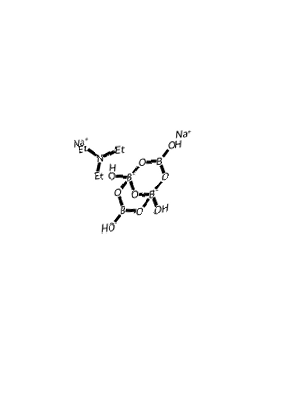 CCN(CC)CC.OB1O[B-]2(O)OB(O)O[B-](O)(O1)O2.[Na+].[Na+]